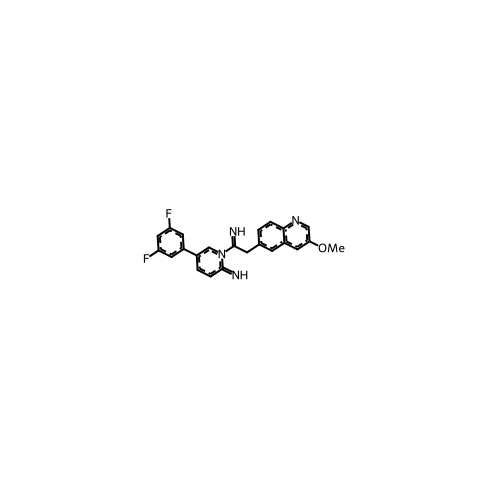 COc1cnc2ccc(CC(=N)n3cc(-c4cc(F)cc(F)c4)ccc3=N)cc2c1